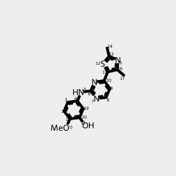 COc1ccc(Nc2nccc(-c3sc(C)nc3C)n2)cc1O